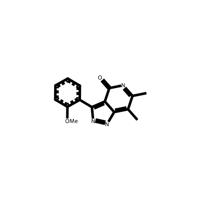 COc1ccccc1C1=C2C(=O)N=C(C)C(C)=C2N=N1